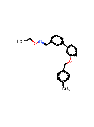 Cc1ccc(COc2cccc(-c3cccc(/C=N/OCC(=O)O)c3)c2)cc1